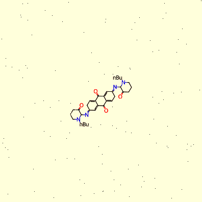 CCCCN1CCCC(=O)C1N=C1C=C2C(=O)C3=CCC(=NC4C(=O)CCCN4CCCC)C=C3C(=O)C2=CC1